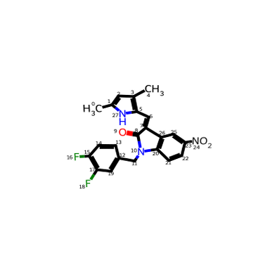 Cc1cc(C)c(/C=C2\C(=O)N(Cc3ccc(F)c(F)c3)c3ccc([N+](=O)[O-])cc32)[nH]1